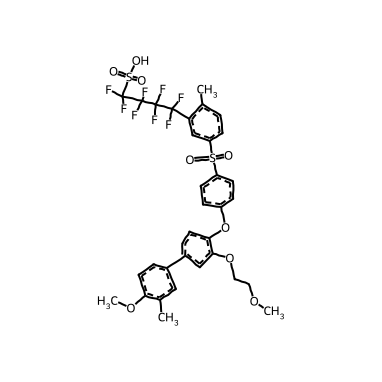 COCCOc1cc(-c2ccc(OC)c(C)c2)ccc1Oc1ccc(S(=O)(=O)c2ccc(C)c(C(F)(F)C(F)(F)C(F)(F)C(F)(F)S(=O)(=O)O)c2)cc1